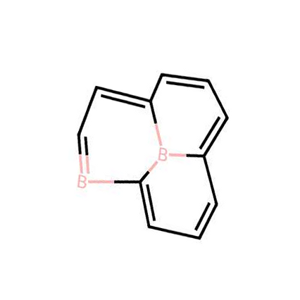 B1=CC=C2C=CC=C3C=CC=C1B23